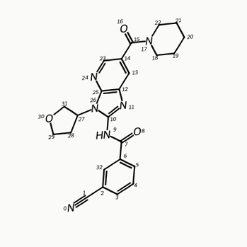 N#Cc1cccc(C(=O)Nc2nc3cc(C(=O)N4CCCCC4)cnc3n2C2CCOC2)c1